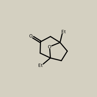 CCC12CCC(CC)(CC(=O)C1)O2